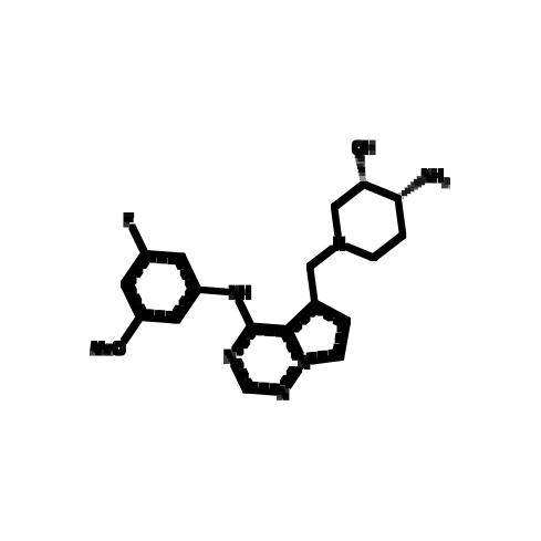 COc1cc(F)cc(Nc2ncnn3ccc(CN4CC[C@@H](N)[C@@H](O)C4)c23)c1